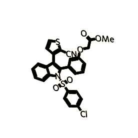 COC(=O)COc1cccc(-c2c(-c3ccsc3C#N)c3ccccc3n2S(=O)(=O)c2ccc(Cl)cc2)c1